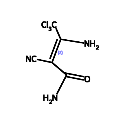 N#C/C(C(N)=O)=C(/N)C(Cl)(Cl)Cl